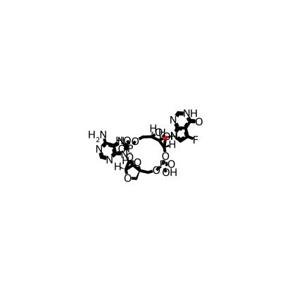 Nc1ncnc2c1ncn2[C@@H]1O[C@@]23CO[C@@H]1[C@@H]2OP(=O)(O)OC[C@H]1O[C@@H](n2cc(F)c4c(=O)[nH]cnc42)[C@H](OP(=O)(O)OC3)[C@@H]1O